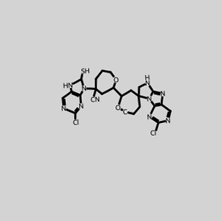 N#CC1(N2c3nc(Cl)ncc3NC2S)CCCOC(C2CC3(CCCO2)CNc2nc4cnc(Cl)nc4n23)C1